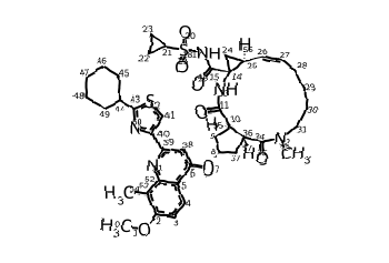 COc1ccc2c(O[C@@H]3C[C@H]4C(=O)N[C@]5(C(=O)NS(=O)(=O)C6CC6)C[C@H]5/C=C\CCCCN(C)C(=O)[C@@H]4C3)cc(-c3csc(C4CCCCC4)n3)nc2c1C